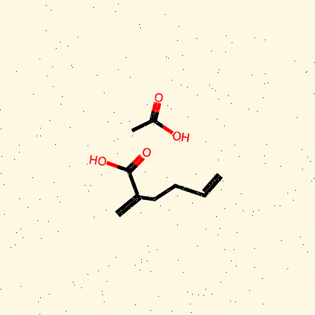 C=CCCC(=C)C(=O)O.CC(=O)O